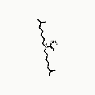 CC(C)CCCCC[SH](CCCCCC(C)C)C(N)=S